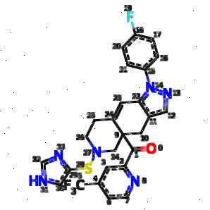 O=C(c1cc(C(F)(F)F)ccn1)C12Cc3cnn(-c4ccc(F)cc4)c3C=C1CCN(Sc1c[nH]cn1)C2